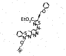 CCOC(=O)c1nc(N(C)c2cc(C)c(/N=c3\sc4ccccc4n3COCC[Si](C)(C)C)nn2)sc1C#CCOc1ccccc1